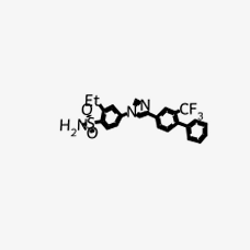 CCc1cc(-n2cnc(-c3ccc(-c4ccccc4)c(C(F)(F)F)c3)c2)ccc1S(N)(=O)=O